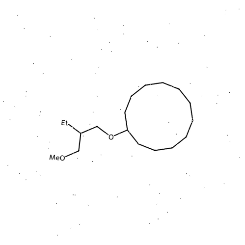 CCC(COC)COC1CCCCCCCCCCC1